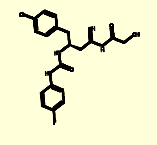 N=C(C[C@H](Cc1ccc(Cl)cc1)NC(=O)Nc1ccc(F)cc1)NC(=O)CO